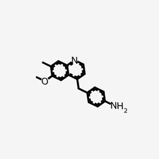 COc1cc2c(Cc3ccc(N)cc3)ccnc2cc1C